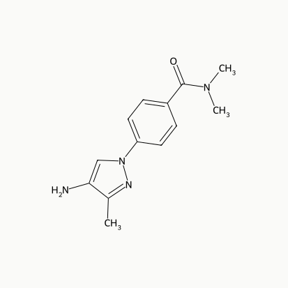 Cc1nn(-c2ccc(C(=O)N(C)C)cc2)cc1N